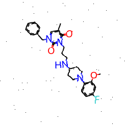 COc1cc(F)ccc1N1CCC(NCCCn2c(=O)c(C)cn(Cc3ccccc3)c2=O)CC1